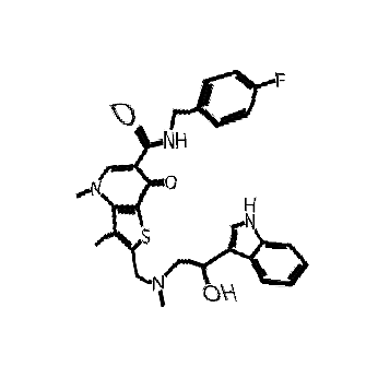 Cc1c(CN(C)CC(O)c2c[nH]c3ccccc23)sc2c(=O)c(C(=O)NCc3ccc(F)cc3)cn(C)c12